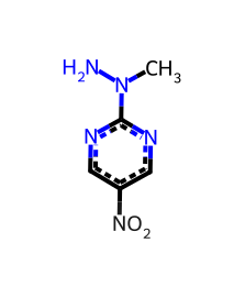 CN(N)c1ncc([N+](=O)[O-])cn1